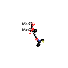 COC(=O)CCCOC(Cc1ccccc1CCCCCCOc1cc(-c2ccccc2)cc(-c2cccs2)n1)C(=O)OC